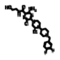 CC[C@H]1CN(c2nc(N)c(C(=O)NCCO)nc2Cl)CCN1C1CCN(Cc2ccc(F)c(F)c2)CC1